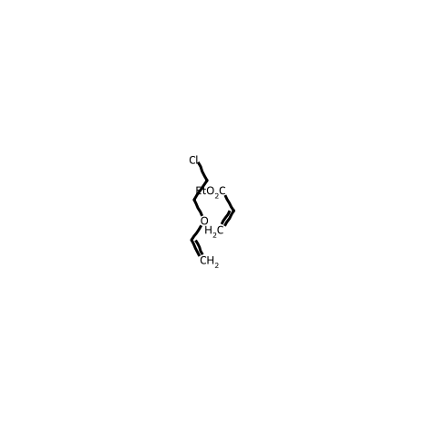 C=CC(=O)OCC.C=COCCCl